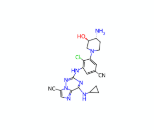 N#Cc1cc(Nc2nc(NC3CC3)c3ncc(C#N)n3n2)c(Cl)c(N2CC[C@@H](N)[C@H](O)C2)c1